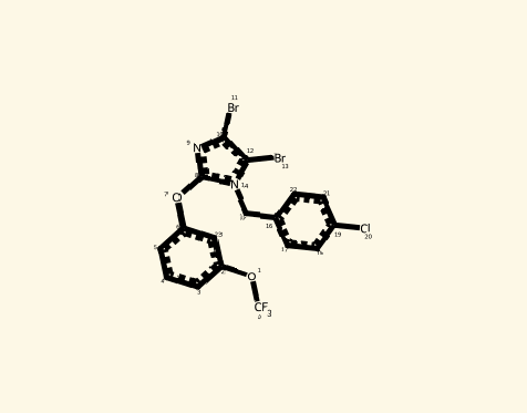 FC(F)(F)Oc1cccc(Oc2nc(Br)c(Br)n2Cc2ccc(Cl)cc2)c1